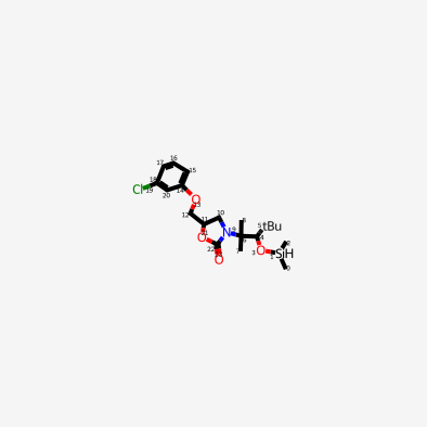 C[SiH](C)OC(C(C)(C)C)C(C)(C)N1CC(COc2cccc(Cl)c2)OC1=O